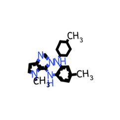 Cc1ccc(Nc2ncnc3ccn(C)c23)c(NC2CCC(C)CC2)c1